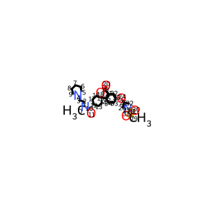 CN(CCN1CCCCC1)C(=O)[C@H]1CC[C@@]2(CC1)OC(=O)c1cc(OC3CN(S(C)(=O)=O)C3)ccc12